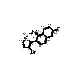 Cn1ncc(Br)c1-c1ccc2cc(F)ccc2c1C#N